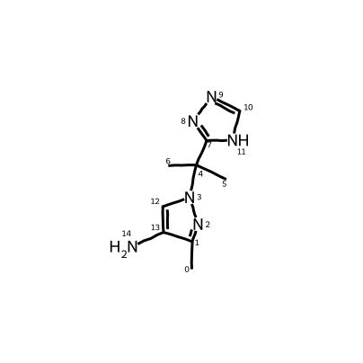 Cc1nn(C(C)(C)c2nnc[nH]2)cc1N